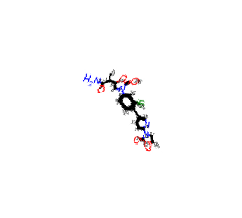 C[C@H](C(N)=O)C1CN(c2ccc(-c3ccc(N4CCOC4=O)nc3)c(F)c2)C(=O)O1